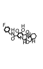 O=C(NCc1ccc(F)cc1)c1cn2c(c(O)c1=O)C(=O)N1[C@@H](C2)OC[C@@H]2CCCC[C@@H]21